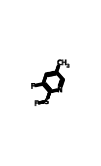 Cc1cnc(SF)c(F)c1